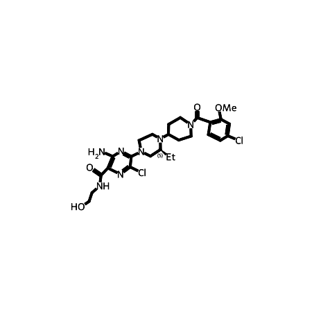 CC[C@H]1CN(c2nc(N)c(C(=O)NCCO)nc2Cl)CCN1C1CCN(C(=O)c2ccc(Cl)cc2OC)CC1